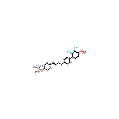 CCOc1ccc(-c2ccc(CC/C=C/C3CCC(O[Si](C(C)C)(C(C)C)C(C)C)CC3)cc2)c(F)c1F